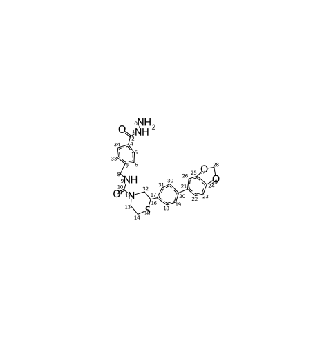 NNC(=O)c1ccc(CNC(=O)N2CCSC(c3ccc(-c4ccc5c(c4)OCO5)cc3)C2)cc1